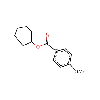 COc1cc[si](C(=O)OC2CCCCC2)cc1